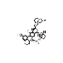 COC1CCCc2cc(O)cc(-c3ccc4c(N5C[C@H]6CC[C@@H](C5)N6)nc(OC[C@@]56CCCN5C[C@H](F)C6)nc4c3F)c21